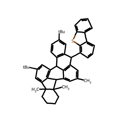 Cc1cc2c3c(c1)C1c4c(cc(C(C)(C)C)cc4C4(C)CCCCC14C)C3c1ccc(C(C)(C)C)cc1C2c1cccc2c1sc1ccccc12